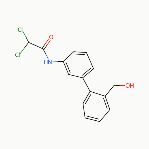 O=C(Nc1cccc(-c2ccccc2CO)c1)C(Cl)Cl